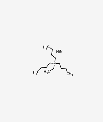 Br.CCCC[P](CC)(CCCC)CCCC